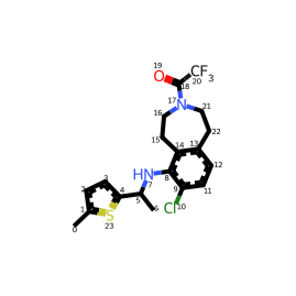 Cc1ccc(C(C)Nc2c(Cl)ccc3c2CCN(C(=O)C(F)(F)F)CC3)s1